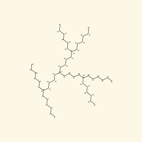 CCCCCCP(CCCCCC)CCCCP(CCCCP(CCCCCC)CCCCCC)CCCCP(CCCCCC)CCCCCC